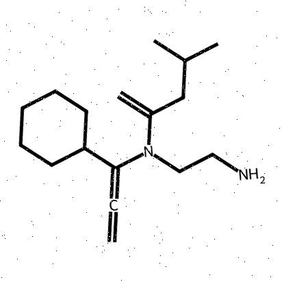 C=C=C(C1CCCCC1)N(CCN)C(=C)CC(C)C